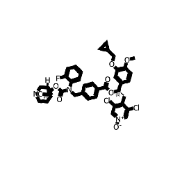 COc1ccc([C@H](Cc2c(Cl)c[n+]([O-])cc2Cl)OC(=O)c2ccc(CN(C(=O)O[C@H]3CN4CCC3CC4)c3ccccc3F)cc2)cc1OCC1CC1